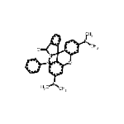 CN(C)c1ccc2c(c1)Oc1cc(N(C)C)ccc1C21c2ccccc2C(=O)N1Nc1ccccc1